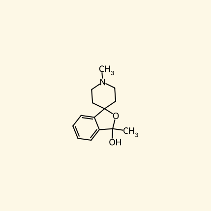 CN1CCC2(CC1)OC(C)(O)c1ccccc12